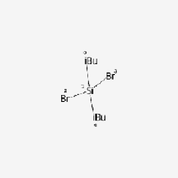 CCC(C)[Si](Br)(Br)C(C)CC